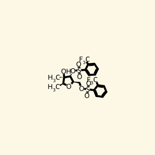 C[C@@H]1O[C@H](COS(=O)(=O)c2ccccc2C(F)(F)F)[C@@H](OS(=O)(=O)c2ccccc2C(F)(F)F)[C@]1(C)O